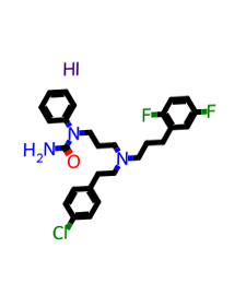 I.NC(=O)N(CCCN(CCCc1cc(F)ccc1F)CCc1ccc(Cl)cc1)c1ccccc1